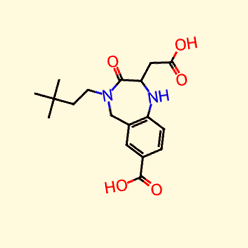 CC(C)(C)CCN1Cc2cc(C(=O)O)ccc2NC(CC(=O)O)C1=O